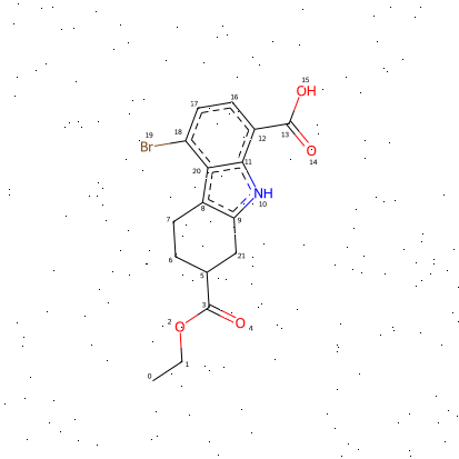 CCOC(=O)C1CCc2c([nH]c3c(C(=O)O)ccc(Br)c23)C1